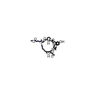 CCOC(=O)/C=C/C=C(\C)[C@@H]1C/C=C/C=C/CC(C)C(O)C(CCC(C)=O)C(=O)NC(C(C)C)C(=O)NC(Cc2cccc(O)c2)C(=O)N2CCCC(N2)C(=O)O1